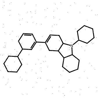 C1=CC(C2=CCC3C(C2)C2CCCCC2N3C2CCCCC2)=CC(C2CCCCC2)C1